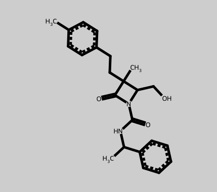 Cc1ccc(CCC2(C)C(=O)N(C(=O)NC(C)c3ccccc3)C2CO)cc1